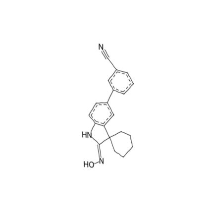 N#Cc1cccc(-c2ccc3c(c2)C2(CCCCC2)/C(=N/O)N3)c1